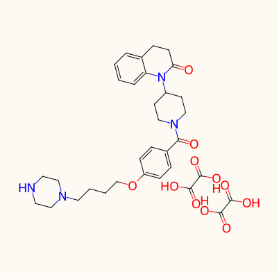 O=C(O)C(=O)O.O=C(O)C(=O)O.O=C(c1ccc(OCCCCN2CCNCC2)cc1)N1CCC(N2C(=O)CCc3ccccc32)CC1